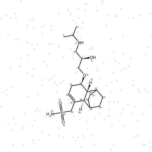 CC(C)NC[C@@H](O)CO[C@@H]1CC=C(CS(N)(=O)=O)[C@@H]2C3CCC(CC3)[C@H]21